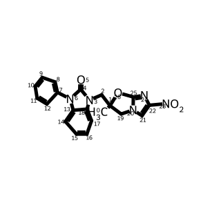 CC1(Cn2c(=O)n(-c3ccccc3)c3ccccc32)Cn2cc([N+](=O)[O-])nc2O1